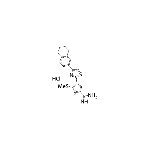 CSc1sc(C(=N)N)cc1-c1nc(-c2ccc3c(c2)CCCC3)cs1.Cl